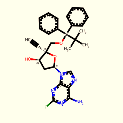 C#C[C@]1(CO[Si](c2ccccc2)(c2ccccc2)C(C)(C)C)O[C@@H](n2cnc3c(N)nc(F)nc32)C[C@H]1O